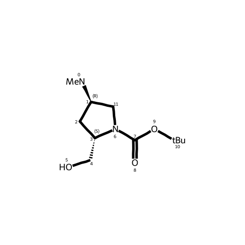 CN[C@@H]1C[C@@H](CO)N(C(=O)OC(C)(C)C)C1